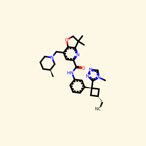 C[C@H]1CCCN(Cc2cc(C(=O)Nc3cccc([C@]4(c5nncn5C)C[C@@H](CC#N)C4)c3)nc3c2OCC3(C)C)C1